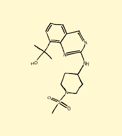 CC(C)(O)c1cccc2cnc(NC3CCN(S(C)(=O)=O)CC3)nc12